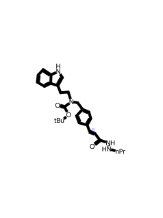 CCCNNC(=O)/C=C/c1ccc(CN(CCc2c[nH]c3ccccc23)C(=O)OC(C)(C)C)cc1